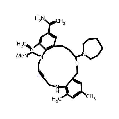 C=Nc1cc(C(=C)N)cc2c1N(CNC)C/C=C/CNc1c(C)cc(C)cc1CCC(N1CCCCCC1)CC2